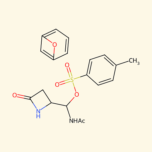 CC(=O)NC(OS(=O)(=O)c1ccc(C)cc1)C1CC(=O)N1.c1cc2cc(c1)O2